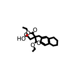 CCOC(=O)C(CC(=O)O)(Cc1ccc2c(c1)CCCC2)C(=O)OCC